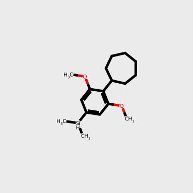 COc1cc([SiH](C)C)cc(OC)c1C1CCCCCC1